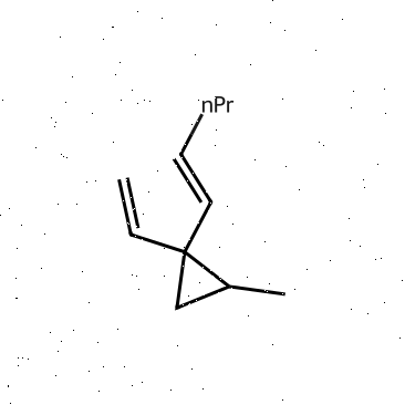 C=CC1(C=CCCC)CC1C